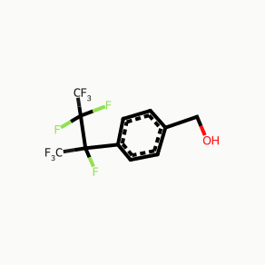 OCc1ccc(C(F)(C(F)(F)F)C(F)(F)C(F)(F)F)cc1